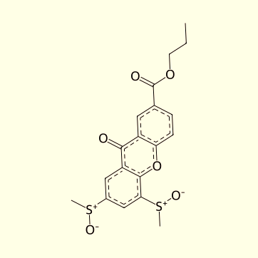 CCCOC(=O)c1ccc2oc3c([S+](C)[O-])cc([S+](C)[O-])cc3c(=O)c2c1